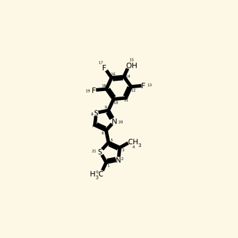 Cc1nc(C)c(-c2csc(-c3cc(F)c(O)c(F)c3F)n2)s1